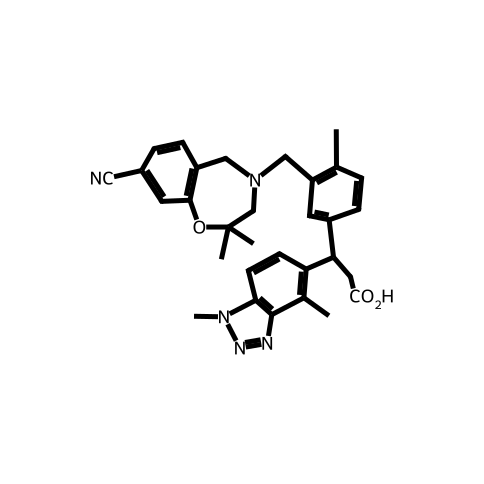 Cc1ccc(C(CC(=O)O)c2ccc3c(nnn3C)c2C)cc1CN1Cc2ccc(C#N)cc2OC(C)(C)C1